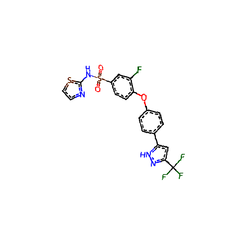 O=S(=O)(Nc1nccs1)c1ccc(Oc2ccc(-c3cc(C(F)(F)F)n[nH]3)cc2)c(F)c1